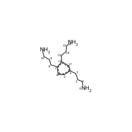 NCCCc1ccc(CCCN)c(CCCN)c1